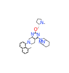 Cc1cccc2cccc(N3CCc4c(nc(OC[C@@H]5CCCN5C)nc4N4CC5CCCC(C4)N5)C3)c12